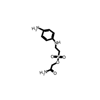 NC(=O)COS(=O)(=O)CCNc1ccc(N)cc1